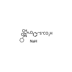 Cc1oc(C2CCCCC2)nc1CCOc1cccc(CSCC(=O)O)c1.[NaH]